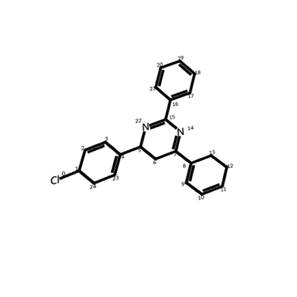 ClC1C=CC(C2CC(C3=CC=CCC3)=NC(c3ccccc3)=N2)=CC1